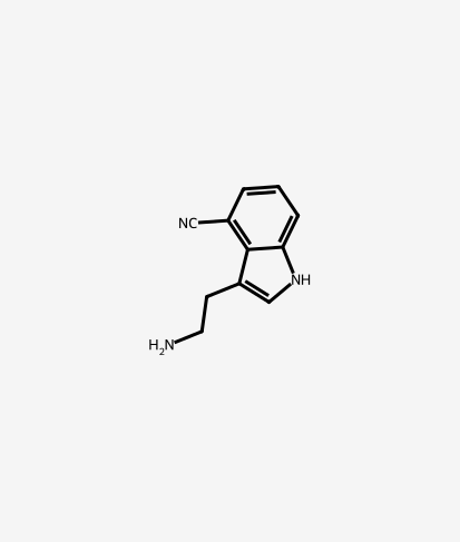 N#Cc1cccc2[nH]cc(CCN)c12